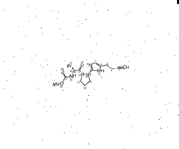 C#CCCc1cnc([C@H]2CCCN2C(=O)[C@@H](NC(=O)OC)C(C)C)[nH]1